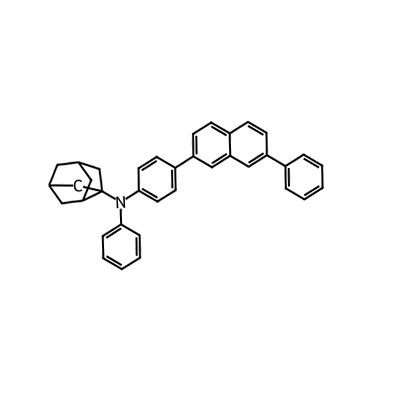 c1ccc(-c2ccc3ccc(-c4ccc(N(c5ccccc5)C56CC7CC(CC5C7)C6)cc4)cc3c2)cc1